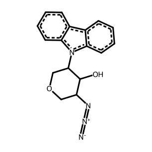 [N-]=[N+]=NC1COCC(n2c3ccccc3c3ccccc32)C1O